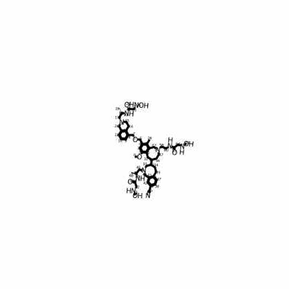 COc1cc(COCc2cccc3c2CCN(C[C@H](C)NC(=O)CNO)C3)c(C)c2c1CC(C1CCc3ccc(C#N)cc3CN(C[C@H](C)NC(=O)CNO)C1)CCN(CCNC(=O)CNO)C2